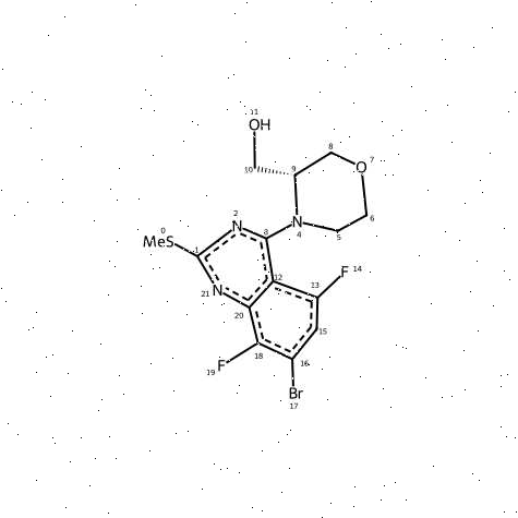 CSc1nc(N2CCOC[C@H]2CO)c2c(F)cc(Br)c(F)c2n1